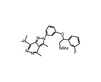 CNCC(Oc1cccc(-n2nc3c(N(C)C)nnc(C)c3c2C)c1)c1cccc(F)c1